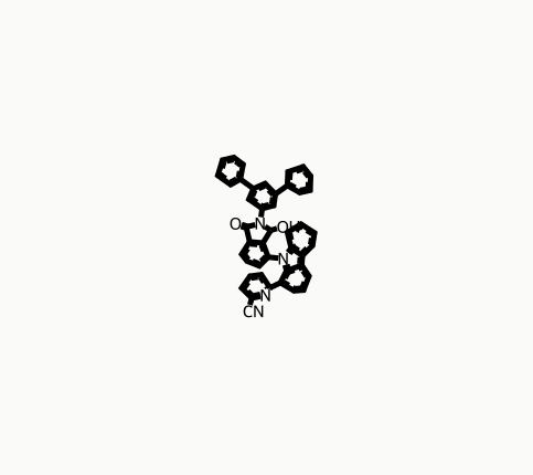 N#Cc1cccc(-c2cccc3c4ccccc4n(-c4cccc5c4C(O)N(c4cc(-c6ccccc6)cc(-c6ccccc6)c4)C5=O)c23)n1